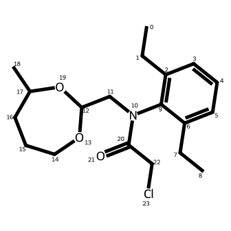 CCc1cccc(CC)c1N(CC1OCCCC(C)O1)C(=O)CCl